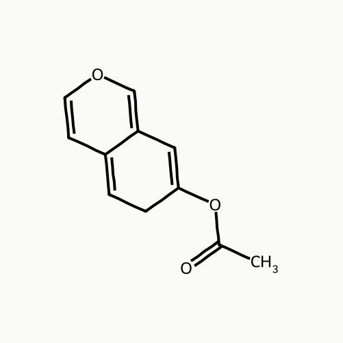 CC(=O)OC1=CC2=COC=CC2=CC1